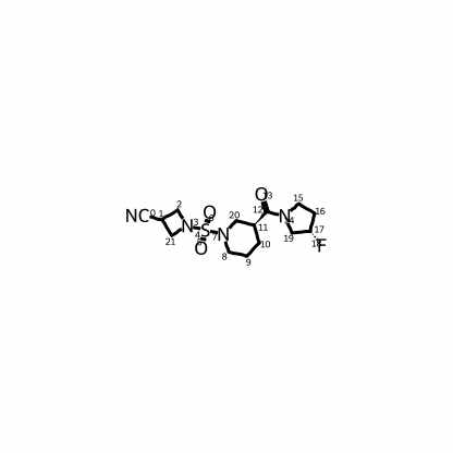 N#CC1CN(S(=O)(=O)N2CCC[C@H](C(=O)N3CC[C@H](F)C3)C2)C1